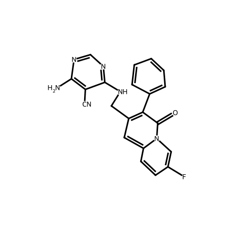 N#Cc1c(N)ncnc1NCc1cc2ccc(F)cn2c(=O)c1-c1ccccc1